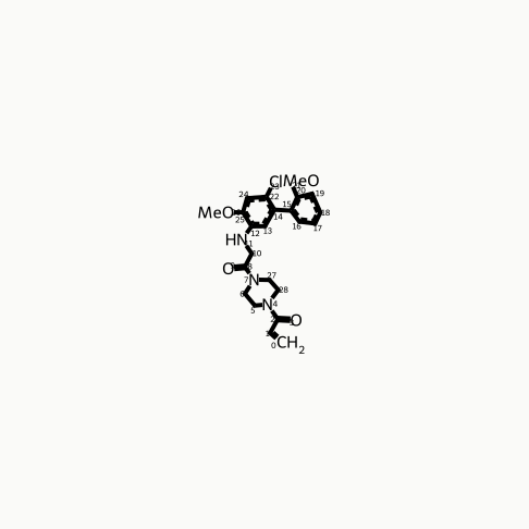 C=CC(=O)N1CCN(C(=O)CNc2cc(-c3ccccc3OC)c(Cl)cc2OC)CC1